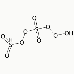 O=[SH](=O)OOS(=O)(=O)OOO